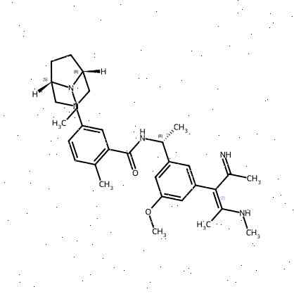 CCN1[C@@H]2CC[C@H]1CN(c1ccc(C)c(C(=O)N[C@H](C)c3cc(OC)cc(/C(C(C)=N)=C(\C)NC)c3)c1)C2